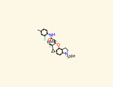 CN/C=C(\C(=C/C(=O)Nc1ccc(C)cc1F)Oc1cccc2c1CCN2SC)C1CC1